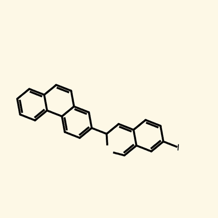 C/C=c1/cc(I)cc/c1=C/C(C)c1ccc2c(ccc3ccccc32)c1